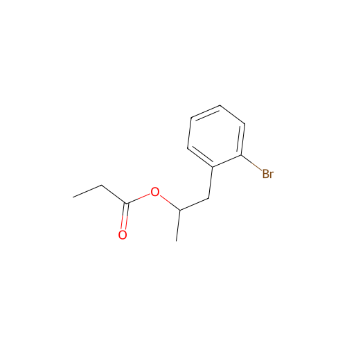 CCC(=O)OC(C)Cc1ccccc1Br